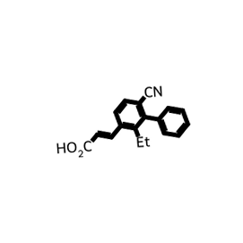 CCc1c(C=CC(=O)O)ccc(C#N)c1-c1ccccc1